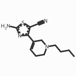 CCCCN1CCC=C(c2nc(N)sc2C#N)C1